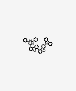 c1ccc(-c2nc(-c3ccccc3)nc(-c3cccc4oc5c(-c6cccc7oc8cc(-n9c%10ccccc%10c%10ccccc%109)ccc8c67)cccc5c34)n2)cc1